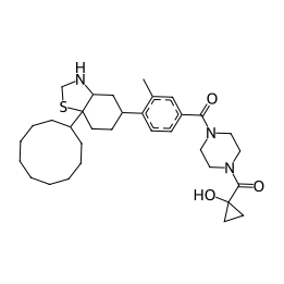 Cc1cc(C(=O)N2CCN(C(=O)C3(O)CC3)CC2)ccc1C1CCC2(C3CCCCCCCCC3)SCNC2C1